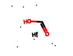 O=CO.[Hf]